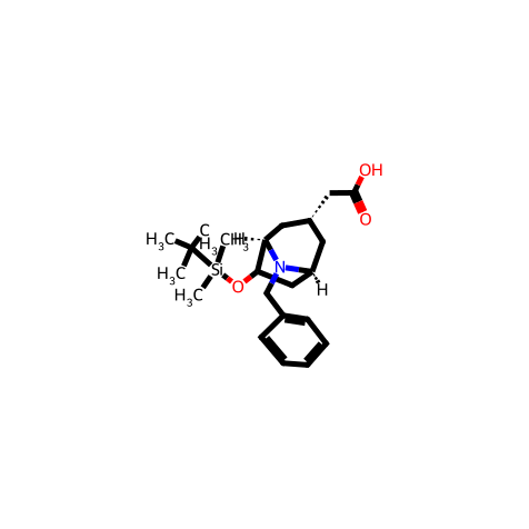 CC(C)(C)[Si](C)(C)OC1C[C@@H]2C[C@@H](CC(=O)O)C[C@H]1N2Cc1ccccc1